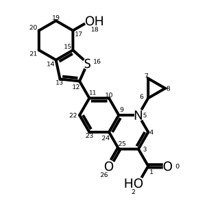 O=C(O)c1cn(C2CC2)c2cc(-c3cc4c(s3)C(O)CCC4)ccc2c1=O